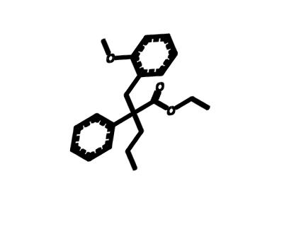 CCCC(Cc1ccccc1OC)(C(=O)OCC)c1ccccc1